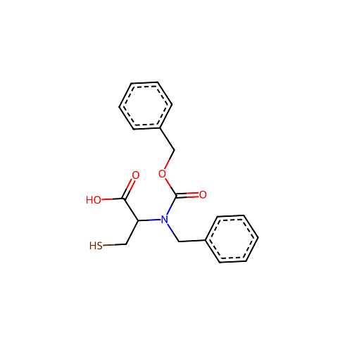 O=C(O)C(CS)N(Cc1ccccc1)C(=O)OCc1ccccc1